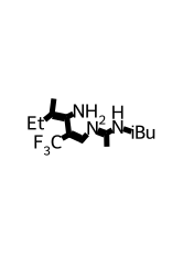 CC\C(C)=C(N)/C(=C\N=C(/C)NC(C)CC)C(F)(F)F